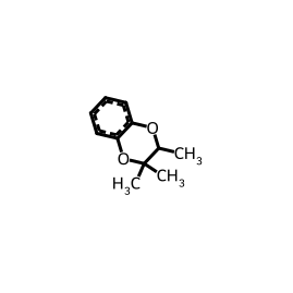 CC1Oc2ccccc2OC1(C)C